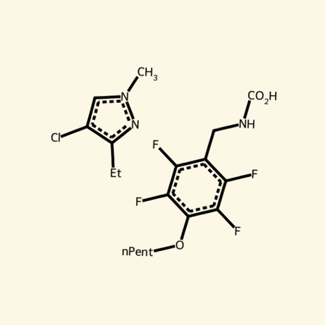 CCCCCOc1c(F)c(F)c(CNC(=O)O)c(F)c1F.CCc1nn(C)cc1Cl